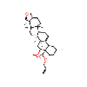 C=CCOC(=O)[C@]12CC[C@@H](C)CC1C1=CCC3C4(C)CC[C@H](C)[C@](C)(C=O)[C@@H]4CC[C@]3(C)[C@]1(C)CC2OC